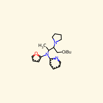 CC(C)COCC(C(C)N(c1ccccn1)c1ccco1)N1CCCC1